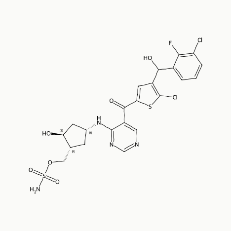 NS(=O)(=O)OC[C@H]1C[C@@H](Nc2ncncc2C(=O)c2cc(C(O)c3cccc(Cl)c3F)c(Cl)s2)C[C@@H]1O